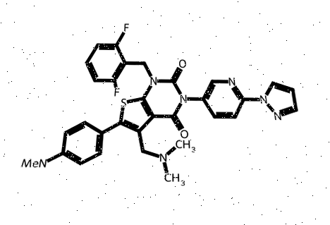 CNc1ccc(-c2sc3c(c2CN(C)C)c(=O)n(-c2ccc(-n4cccn4)nc2)c(=O)n3Cc2c(F)cccc2F)cc1